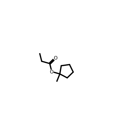 CCC(=O)OC1(C)CCCC1